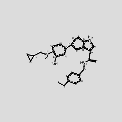 C=C(NCc1ccc(CC)cc1)c1c[nH]c2ccc(-c3ccc(NCC4CC4)c(S)c3)cc12